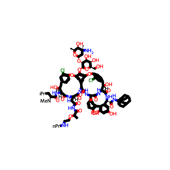 CCCNCCOC(C)C(=O)NC(=O)C[C@@H]1NC(=O)[C@H](NC(=O)[C@@H](CC(C)C)NC)[C@H](O)c2ccc(c(Cl)c2)Oc2cc3cc(c2O[C@@H]2O[C@H](CO)[C@@H](O)[C@H](O)[C@H]2O[C@H]2C[C@](C)(N)[C@H](O)[C@H](C)O2)Oc2ccc(cc2Cl)[C@@H](O)[C@@H]2NC(=O)[C@H](NC(=O)[C@@H]3NC1=O)c1ccc(O)c(c1)-c1c(O)cc(O)cc1[C@@H](C(=O)NC1C3CC4CC(C3)CC1C4)NC2=O